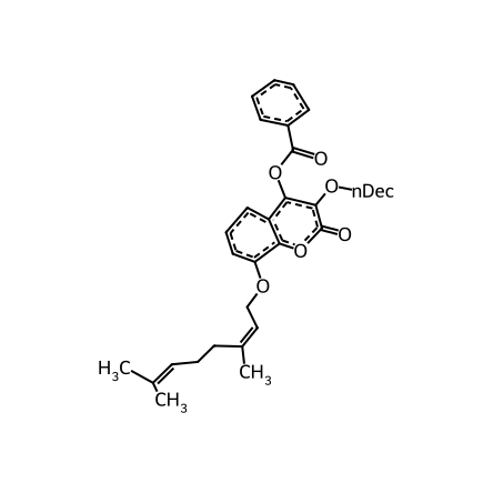 CCCCCCCCCCOc1c(OC(=O)c2ccccc2)c2cccc(OCC=C(C)CCC=C(C)C)c2oc1=O